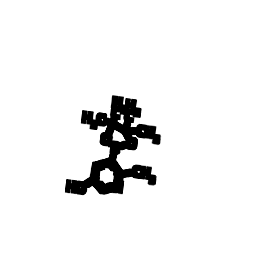 Cc1ncc(O)cc1B1OC(C)(C)C(C)(C)O1